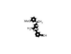 C#Cc1cccc(-c2nc(N)c3cc(N(C)c4cccc(OC)c4)sc3n2)c1